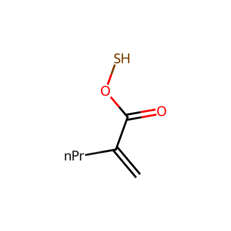 C=C(CCC)C(=O)OS